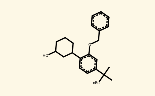 CCCCC(C)(C)c1ccc(C2CCCC(O)C2)c(OCc2ccccc2)c1